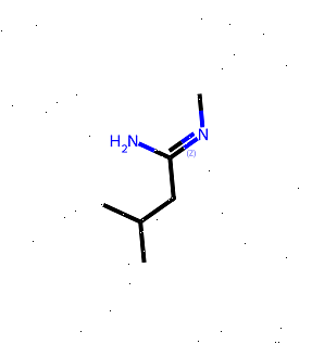 C/N=C(\N)CC(C)C